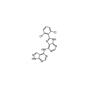 Clc1cccc(Cl)c1-c1nc2c(Nc3ncnc4[nH]ncc34)ncnc2[nH]1